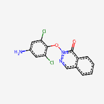 Nc1cc(Cl)c(On2ncc3ccccc3c2=O)c(Cl)c1